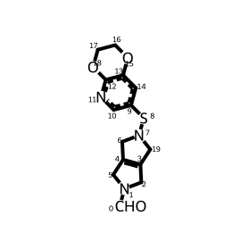 O=CN1CC2=C(C1)CN(Sc1cnc3c(c1)OCCO3)C2